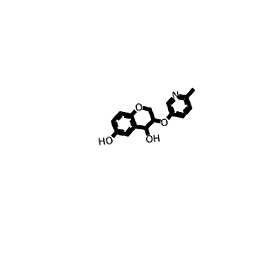 Cc1ccc(OC2COc3ccc(O)cc3C2O)cn1